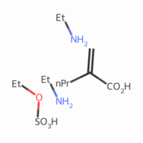 C=C(CCC)C(=O)O.CCN.CCN.CCOS(=O)(=O)O